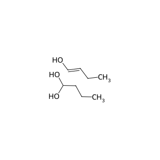 CCC=CO.CCCC(O)O